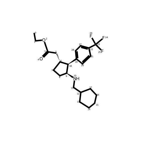 CCOC(=O)C[C@H]1CC[C@H](NCC2CCCCC2)[C@@H]1c1ccc(C(F)(F)F)cc1